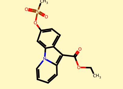 CCOC(=O)c1c2ccc(OS(C)(=O)=O)cc2n2ccccc12